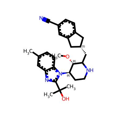 CO[C@@H]1C(C[C@H]2Cc3ccc(C#N)cc3C2)NCC[C@H]1n1c(C(C)(C)O)nc2cc(C)ccc21